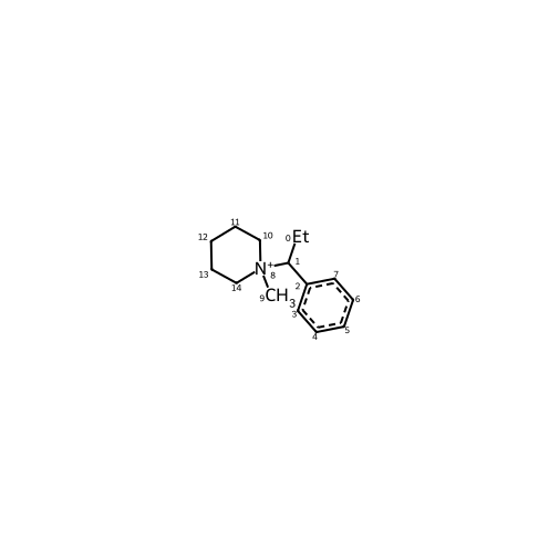 CCC(c1ccccc1)[N+]1(C)CCCCC1